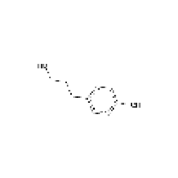 OC[CH]Cc1ccc(O)cc1